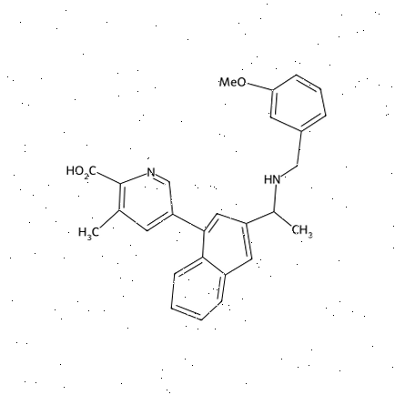 COc1cccc(CNC(C)c2cc(-c3cnc(C(=O)O)c(C)c3)c3ccccc3c2)c1